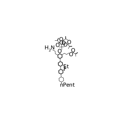 C=C(C)C(=O)OCCCc1cc(-c2ccc(-c3ccc(C4CCC(CCCCC)CC4)cc3F)c(CC)c2)cc(CCCN)c1OCC(COC(=O)C(=C)C)(COC(=O)C(=C)C)COC(=O)C(=C)C